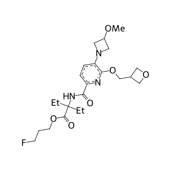 CCC(CC)(NC(=O)c1ccc(N2CC(OC)C2)c(OCC2COC2)n1)C(=O)OCCCF